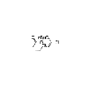 C=C(Cl)Cl.C=CC#N.C=CC(=O)OCCCC